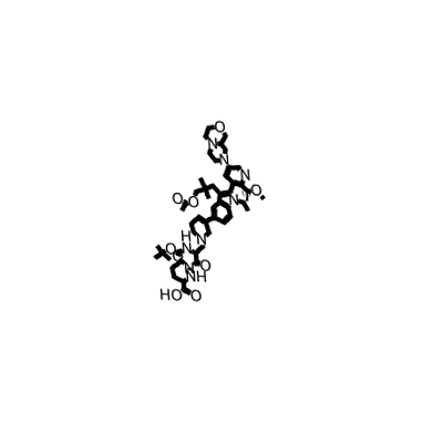 CCn1c(-c2cc(N3CCN4CCOCC4C3)cnc2[C@H](C)OC)c(CC(C)(C)COC(C)=O)c2cc(C3=CCCN(CC(NC(=O)OC(C)(C)C)C(=O)N4CCCC(C(=O)O)N4)C3)ccc21